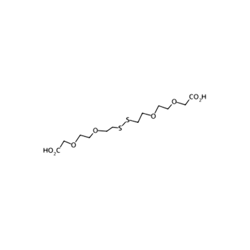 O=C(O)COCCOCCSSCCOCCOCC(=O)O